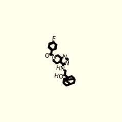 O=C(c1ccc(F)cc1)N1CCc2c(ncnc2NCC(O)C23CC4CC(CC(C4)C2)C3)C1